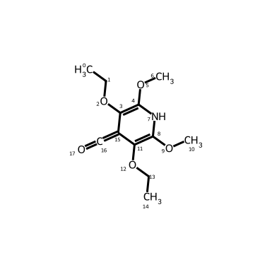 CCOC1=C(OC)NC(OC)=C(OCC)C1=C=O